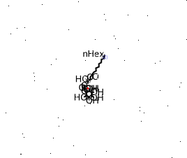 CCCCCC/C=C\CCCCCCCC(=O)OC[C@@H](O)COP(=O)(O)OC1C(O)C(O)C(O)[C@@H](O)C1O